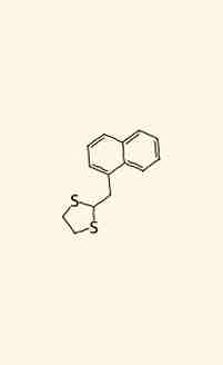 c1ccc2c(CC3SCCS3)cccc2c1